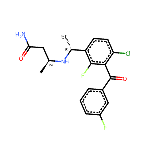 CC[C@@H](N[C@@H](C)CC(N)=O)c1ccc(Cl)c(C(=O)c2cccc(F)c2)c1F